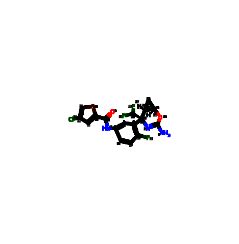 NC1=N[C@@](c2cc(NC(=O)c3cc(Cl)cs3)ccc2F)(C(F)F)[C@H]2C[C@H]2O1